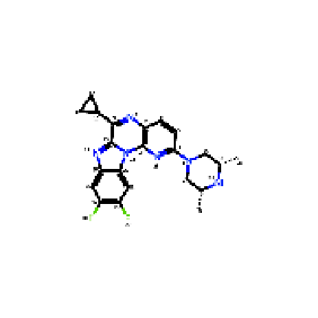 C[C@@H]1CN(c2ccc3nc(C4CC4)c4nc5cc(F)c(F)cc5n4c3n2)C[C@H](C)N1